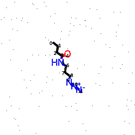 CCCC(=O)NCCCN=[N+]=[N-]